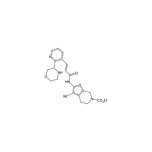 CCOC(=O)N1CCc2c(sc(NC(=O)C=Cc3cccnc3C3COCCN3)c2C#N)C1